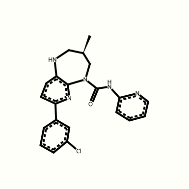 C[C@@H]1CNc2ccc(-c3cccc(Cl)c3)nc2N(C(=O)Nc2ccccn2)C1